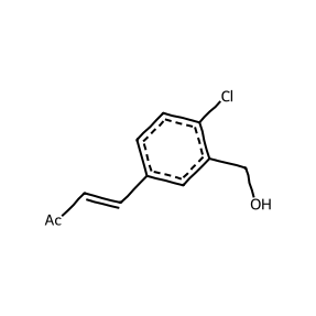 CC(=O)/C=C/c1ccc(Cl)c(CO)c1